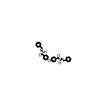 O=C(N/N=C/c1ccccc1)c1ccc(Oc2ccc(C(=O)N/N=C/c3ccccc3)cc2)cc1